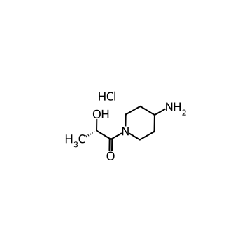 C[C@H](O)C(=O)N1CCC(N)CC1.Cl